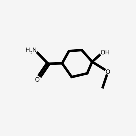 COC1(O)CCC(C(N)=O)CC1